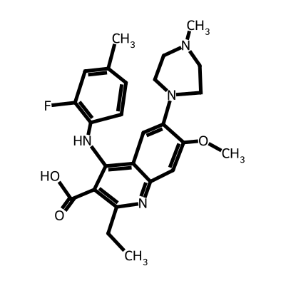 CCc1nc2cc(OC)c(N3CCN(C)CC3)cc2c(Nc2ccc(C)cc2F)c1C(=O)O